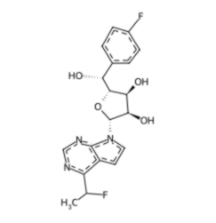 CC(F)c1ncnc2c1ccn2[C@@H]1O[C@H]([C@H](O)c2ccc(F)cc2)[C@@H](O)[C@H]1O